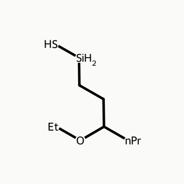 CCCC(CC[SiH2]S)OCC